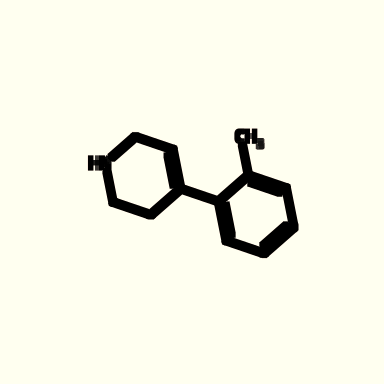 Cc1ccccc1C1=CCNCC1